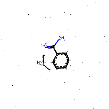 N=C(N)c1ccccc1.[CH3][GaH][CH3]